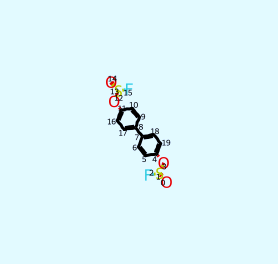 O=S(F)Oc1ccc(-c2ccc(OS(=O)F)cc2)cc1